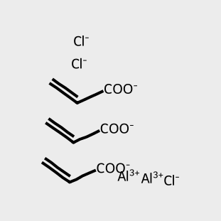 C=CC(=O)[O-].C=CC(=O)[O-].C=CC(=O)[O-].[Al+3].[Al+3].[Cl-].[Cl-].[Cl-]